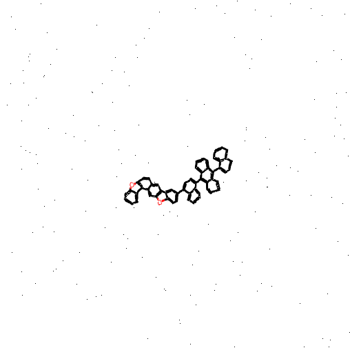 c1ccc2c(-c3c4ccccc4c(-c4ccc(-c5ccc6oc7cc8c(ccc9oc%10ccccc%10c98)cc7c6c5)c5ccccc45)c4ccccc34)cccc2c1